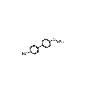 CCCCOc1ccc(-c2ccc(C#N)cc2)cc1